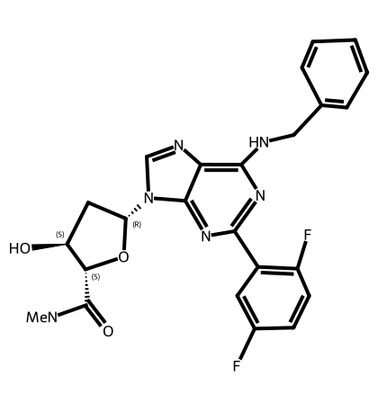 CNC(=O)[C@H]1O[C@@H](n2cnc3c(NCc4ccccc4)nc(-c4cc(F)ccc4F)nc32)C[C@@H]1O